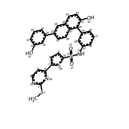 CSc1nccc(-c2ccc(S(=O)(=O)Nc3cccc(-c4c(O)ccc5cc(-c6cccc(O)c6)ccc45)c3)s2)n1